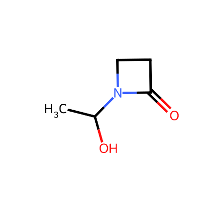 CC(O)N1CCC1=O